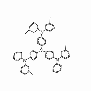 Cc1cccc(N(C2=CC=CC(C)C2)c2ccc(N(c3ccc(N(c4ccccc4)c4cccc(C)c4)cc3)c3ccc(N(c4ccccc4)c4cccc(C)c4)cc3)cc2)c1